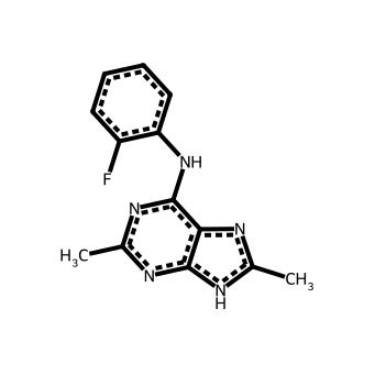 Cc1nc(Nc2ccccc2F)c2nc(C)[nH]c2n1